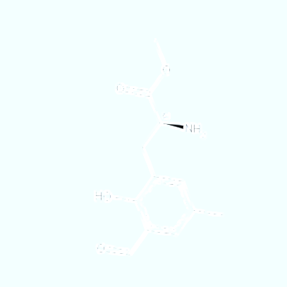 COC(=O)[C@@H](N)Cc1cc(C)cc(C=O)c1O